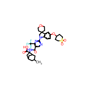 CC1CC2CC(C1)C(NC(=O)c1cnc(N3CC4(CCOCC4)c4cc(OC5CCS(=O)(=O)CC5)ccc43)nc1C(F)(F)F)(C(=O)O)C2